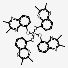 Cc1nc2cccc([O][Zr]([O]c3cccc4nc(C)c(C)nc34)([O]c3cccc4nc(C)c(C)nc34)[O]c3cccc4nc(C)c(C)nc34)c2nc1C